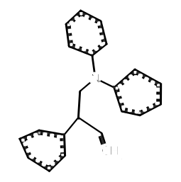 C=CC(CN(c1ccccc1)c1ccccc1)c1ccccc1